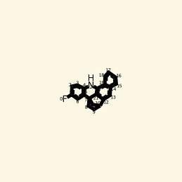 Fc1ccc2c(c1)C13CCC(C1)c1cc4ccccc4c(c13)N2